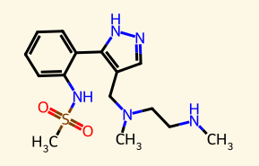 CNCCN(C)Cc1cn[nH]c1-c1ccccc1NS(C)(=O)=O